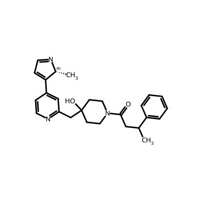 CC(CC(=O)N1CCC(O)(Cc2cc(C3=CC=N[C@@H]3C)ccn2)CC1)c1ccccc1